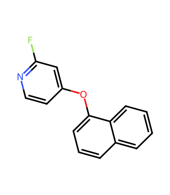 Fc1cc(Oc2cccc3ccccc23)ccn1